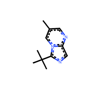 Cc1cnc2cnc(C(C)(C)C)n2c1